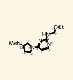 CCOCNc1nccc(N2CC[C@@H](NC)C2)n1